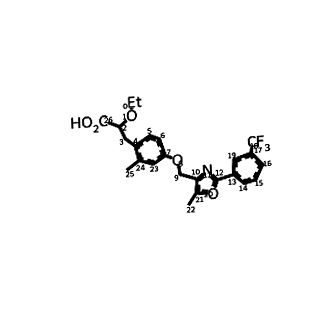 CCOC(Cc1ccc(OCc2nc(-c3cccc(C(F)(F)F)c3)oc2C)cc1C)C(=O)O